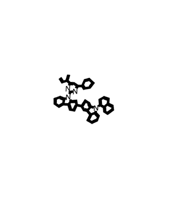 C=CC(=C)c1cc(-c2ccccc2)nc(-n2c3ccccc3c3ccc(-c4ccc5c(c4)c4ccccc4n5-c4cccc5ccccc45)cc32)n1